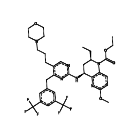 CCOC(=O)N1c2ccc(OC)nc2[C@@H](Nc2ncc(CCCN3CCOCC3)c(Cc3cc(C(F)(F)F)cc(C(F)(F)F)c3)n2)C[C@H]1CC